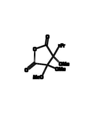 CCCC1(OC)C(=O)OC(=O)C1(OC)OC